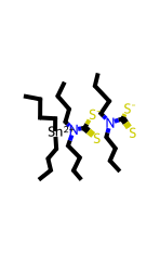 CCCCN(CCCC)C(=S)[S-].CCCCN(CCCC)C(=S)[S-].CCC[CH2][Sn+2][CH2]CCC